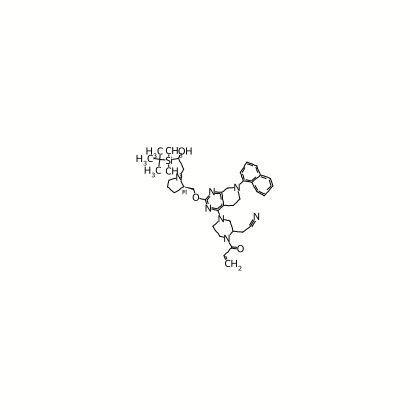 C=CC(=O)N1CCN(c2nc(OC[C@H]3CCCN3CC(O)[Si](C)(C)C(C)(C)C)nc3c2CCN(c2cccc4ccccc24)C3)CC1CC#N